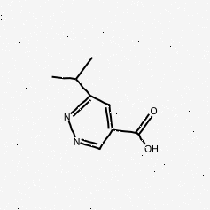 CC(C)c1cc(C(=O)O)cnn1